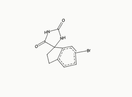 O=C1NC(=O)C2(CCc3ccc(Br)cc32)N1